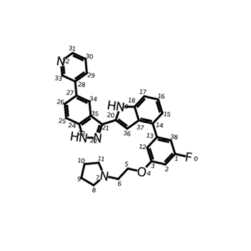 Fc1cc(OCCN2CCCC2)cc(-c2cccc3[nH]c(-c4n[nH]c5ccc(-c6cccnc6)cc45)cc23)c1